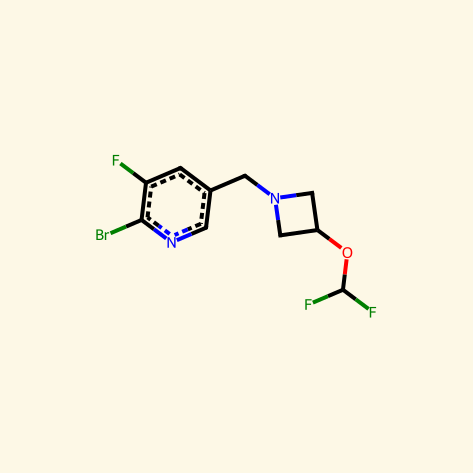 Fc1cc(CN2CC(OC(F)F)C2)cnc1Br